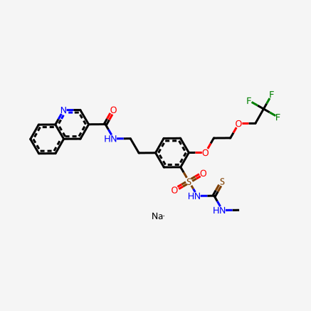 CNC(=S)NS(=O)(=O)c1cc(CCNC(=O)c2cnc3ccccc3c2)ccc1OCCOCC(F)(F)F.[Na]